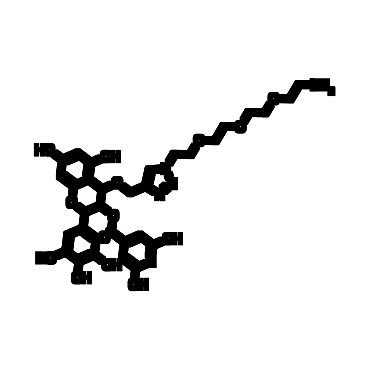 NCCOCCOCCOCCn1cc(COC2c3c(O)cc(O)cc3OC(c3cc(O)c(O)c(O)c3)C2OC(=O)c2cc(O)nc(O)c2)nn1